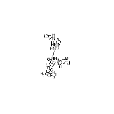 CC(C)(C)OC(=O)N1CCC[C@H](OC(=O)NCCCCNC(=O)Nc2nccnc2C(=O)NC2Cc3ccccc3C2)[C@H]1CC(=O)Cn1cnc2cc(Br)c(Cl)cc2c1=O